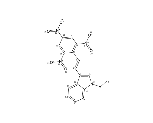 CCn1cc(C=Cc2c([N+](=O)[O-])cc([N+](=O)[O-])cc2[N+](=O)[O-])c2ccccc21